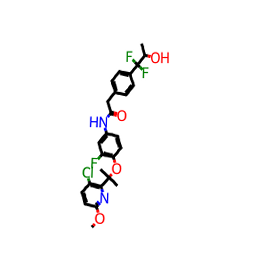 COc1ccc(Cl)c(C(C)(C)Oc2ccc(NC(=O)Cc3ccc(C(F)(F)C(C)O)cc3)cc2F)n1